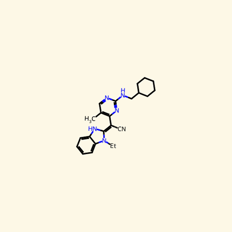 CCN1/C(=C(\C#N)c2nc(NCC3CCCCC3)ncc2C)Nc2ccccc21